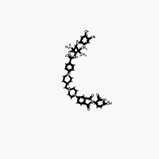 CC1(C)C(NC(=O)c2ccc(N3CCC(CN4CCN(c5ccc6c(c5)C(=O)N(c5ccc(O)[nH]c5=O)C6=O)CC4)CC3)cc2)C(C)(C)C1Oc1ccc(C#N)c(Cl)c1